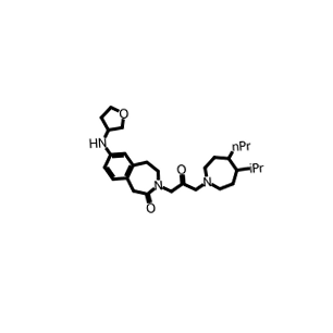 CCCC1CCN(CC(=O)CN2CCc3cc(NC4CCOC4)ccc3CC2=O)CCC1C(C)C